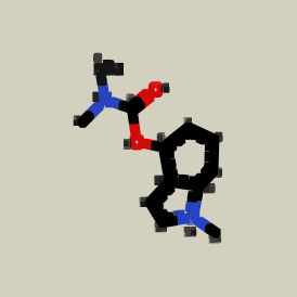 CCCCN(C)C(=O)Oc1cccc2c1ccn2C